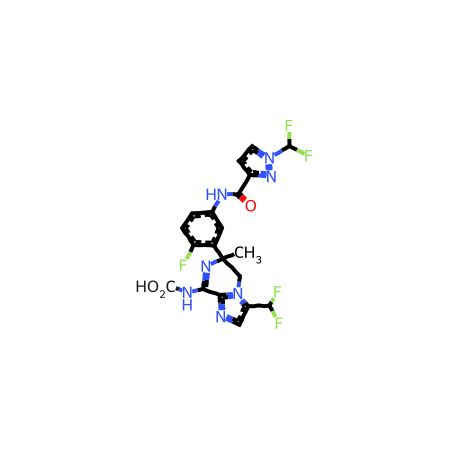 CC1(c2cc(NC(=O)c3ccn(C(F)F)n3)ccc2F)Cn2c(C(F)F)cnc2C(NC(=O)O)=N1